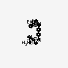 CCN(CC)[C@@H](C(=O)N1CCC[C@H]1c1ncc(-c2ccc(-c3ccc(-c4cnc([C@@H]5CCCN5C(=O)[C@](C)(Cc5cscn5)OC(N)=O)[nH]4)cc3)cc2)[nH]1)c1ccccc1